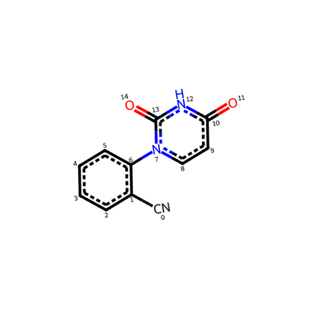 N#Cc1ccccc1-n1ccc(=O)[nH]c1=O